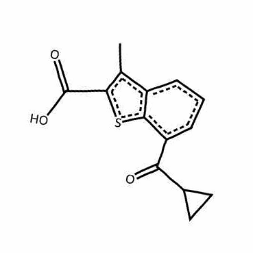 Cc1c(C(=O)O)sc2c(C(=O)C3CC3)cccc12